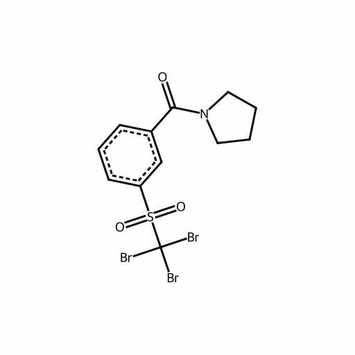 O=C(c1cccc(S(=O)(=O)C(Br)(Br)Br)c1)N1CCCC1